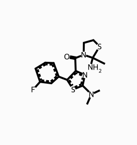 CN(C)c1nc(C(=O)N2CCSC2(C)N)c(-c2cccc(F)c2)s1